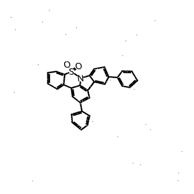 O=S1(=O)c2ccccc2-c2cc(-c3ccccc3)cc3c4cc(-c5ccccc5)ccc4n1c23